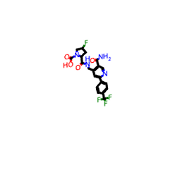 NC(=O)c1cnc(-c2ccc(C(F)(F)F)cc2)cc1CNC(=O)C1CC(F)CN1C(=O)O